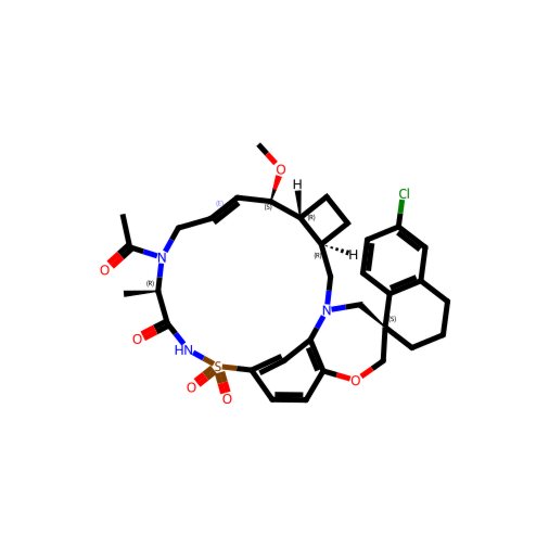 CO[C@@H]1/C=C/CN(C(C)=O)[C@H](C)C(=O)NS(=O)(=O)c2ccc3c(c2)N(C[C@@H]2CC[C@H]21)C[C@@]1(CCCc2cc(Cl)ccc21)CO3